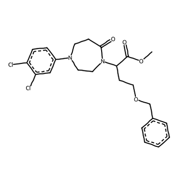 COC(=O)C(CCOCc1ccccc1)N1CCN(c2ccc(Cl)c(Cl)c2)CCC1=O